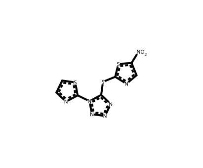 O=[N+]([O-])c1cnc(Sc2nnnn2-c2nccs2)s1